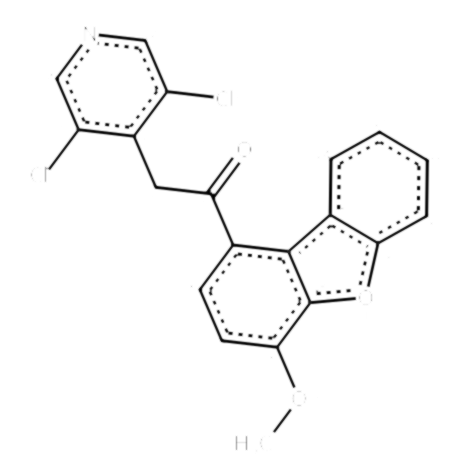 COc1ccc(C(=O)Cc2c(Cl)cncc2Cl)c2c1oc1ccccc12